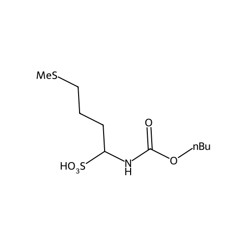 CCCCOC(=O)NC(CCCSC)S(=O)(=O)O